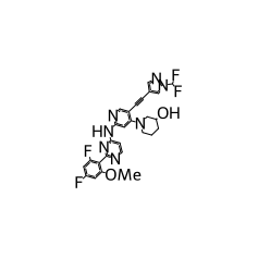 COc1cc(F)cc(F)c1-c1nccc(Nc2cc(N3CCC[C@H](O)C3)c(C#Cc3cnn(C(F)F)c3)cn2)n1